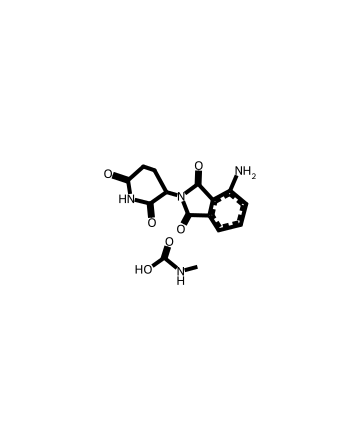 CNC(=O)O.Nc1cccc2c1C(=O)N(C1CCC(=O)NC1=O)C2=O